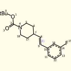 CC(C)(C)OC(=O)N1CCC(/C=C/c2cccc(F)c2)CC1